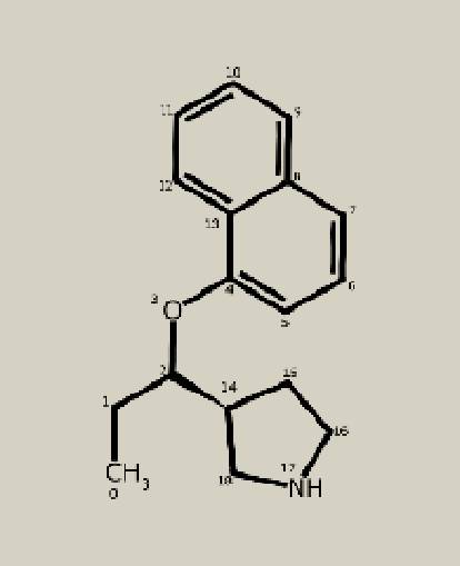 CCC(Oc1cccc2ccccc12)[C@H]1CCNC1